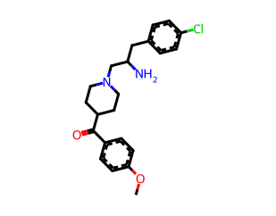 COc1ccc(C(=O)C2CCN(CC(N)Cc3ccc(Cl)cc3)CC2)cc1